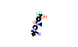 CC(N1CCC(N(C(=O)c2ccc(C(C)(O)C(F)(F)F)cc2)C2CC2)CC1)C1(CC#N)CCC1